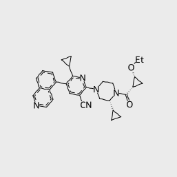 CCO[C@@H]1C[C@@H]1C(=O)N1CCN(c2nc(C3CC3)c(-c3cccc4cnccc34)cc2C#N)C[C@H]1C1CC1